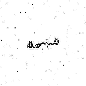 O=C(/C=C/c1cccnc1)NCCC1C2CN(Cc3cncnc3)CC12